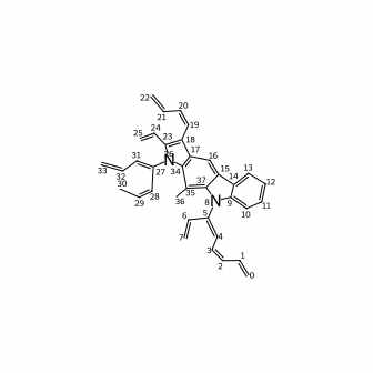 C=C/C=C\C=C(/C=C)n1c2ccccc2c2cc3c(/C=C\C=C)c(C=C)n(C(/C=C\C)=C/C=C)c3c(C)c21